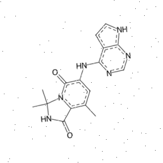 Cc1cc(Nc2ncnc3[nH]ccc23)c(=O)n2c1C(=O)NC2(C)C